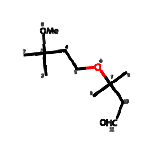 COC(C)(C)CCOC(C)(C)CC=O